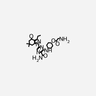 CCc1nn(-c2cnc(C(N)=O)c(NC3CCC(OC(=O)CN)CC3)n2)c2c1C(=O)CC(C)(C)C2